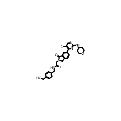 O=C(CN1Cc2ccc(-c3nc(NC4CCOCC4)ncc3Cl)cc2C1=O)NCc1ccc(CO)cc1